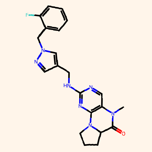 CN1C(=O)C2CCCN2c2nc(NCc3cnn(Cc4ccccc4F)c3)ncc21